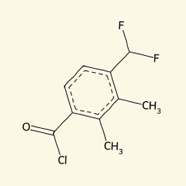 Cc1c(C(=O)Cl)ccc(C(F)F)c1C